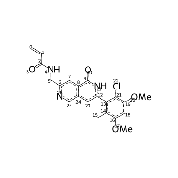 C=CC(=O)NCc1cc2c(=O)[nH]c(-c3c(C)c(OC)cc(OC)c3Cl)cc2cn1